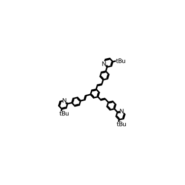 CC(C)(C)c1ccnc(-c2ccc(/C=C/c3cc(/C=C/c4ccc(-c5cc(C(C)(C)C)ccn5)cc4)cc(/C=C/c4ccc(-c5cc(C(C)(C)C)ccn5)cc4)c3)cc2)c1